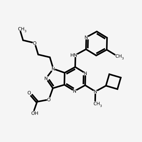 CCOCCn1nc(OC(=O)O)c2nc(N(C)C3CCC3)nc(Nc3cc(C)ccn3)c21